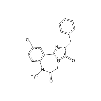 CN1C(=O)Cn2c(nn(Cc3ccccc3)c2=O)-c2cc(Cl)ccc21